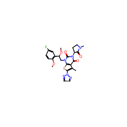 COc1ccc(F)cc1C(Cn1c(=O)n(C2CCN(C)C2=O)c(=O)c2c(C)c(-n3nccn3)sc21)OC